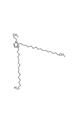 CCCCCCCCCCCCCCCCCc1n(CCC)cc[n+]1CCCCCCCCCCCCCCCC